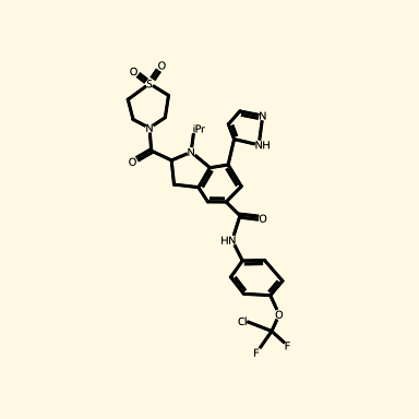 CC(C)N1c2c(cc(C(=O)Nc3ccc(OC(F)(F)Cl)cc3)cc2-c2ccn[nH]2)CC1C(=O)N1CCS(=O)(=O)CC1